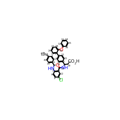 CC(C)(C)c1ccc(CNc2ccc(Cl)cc2C(=O)NC(CC(=O)O)c2ccc(-c3ccccc3Oc3ccccc3)cc2)cc1